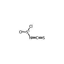 [O-][S+](Cl)N=C=S